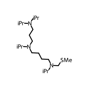 CSCN(CCCCN(CCCN(C(C)C)C(C)C)C(C)C)C(C)C